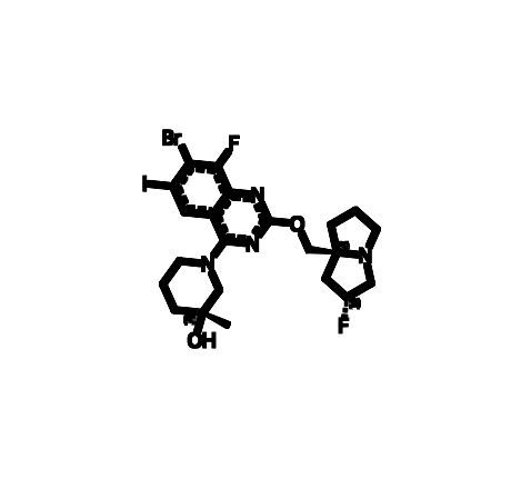 C[C@@]1(O)CCCN(c2nc(OC[C@@]34CCCN3C[C@H](F)C4)nc3c(F)c(Br)c(I)cc23)C1